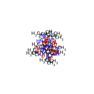 CC(C)C[C@H](NC(=O)CNC(=O)[C@H](Cc1ccccc1)N(C)C(=O)[C@H](C)NC(=O)[C@H](C)NC(=O)OC(C)(C)C)C(=O)N[C@@H](C)C(=O)N[C@H](C(=O)N[C@@H](Cc1ccccc1)C(=O)N[C@@H](CC(=O)O)C(=O)N(C)[C@@H](C)C(=O)N[C@@H](COC(C)(C)C)C(=O)NCC(N)=O)C(C)C